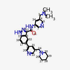 CN(C)Cc1cncc(NC(=O)c2n[nH]c3ccc(-c4cncc(CN5CCCCC5)c4)cc23)c1